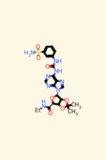 CCNC(=O)[C@H]1O[C@@H](n2cnc3c(NC(=O)Nc4cccc(S(N)(=O)=O)c4)ncnc32)C2OC(C)(C)OC21